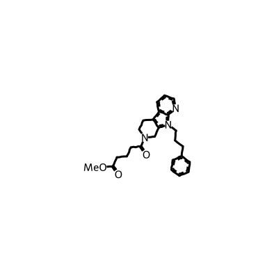 COC(=O)CCCC(=O)N1CCc2c(n(CCCc3ccccc3)c3ncccc23)C1